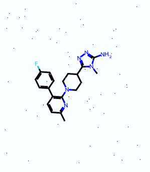 Cc1ccc(-c2ccc(F)cc2)c(N2CCC(c3nnc(N)n3C)CC2)n1